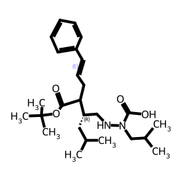 CC(C)C[C@@H](CNN(CC(C)C)C(=O)O)C(C/C=C/c1ccccc1)C(=O)OC(C)(C)C